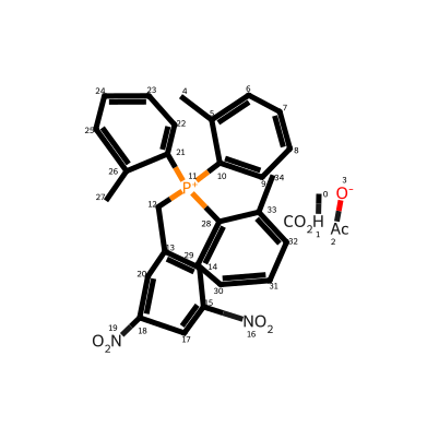 CC(=O)O.CC(=O)[O-].Cc1ccccc1[P+](Cc1cc([N+](=O)[O-])cc([N+](=O)[O-])c1)(c1ccccc1C)c1ccccc1C